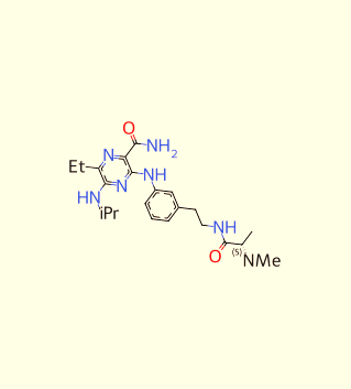 CCc1nc(C(N)=O)c(Nc2cccc(CCNC(=O)[C@H](C)NC)c2)nc1NC(C)C